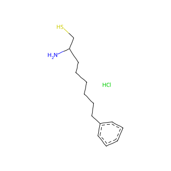 Cl.NC(CS)CCCCCCc1ccccc1